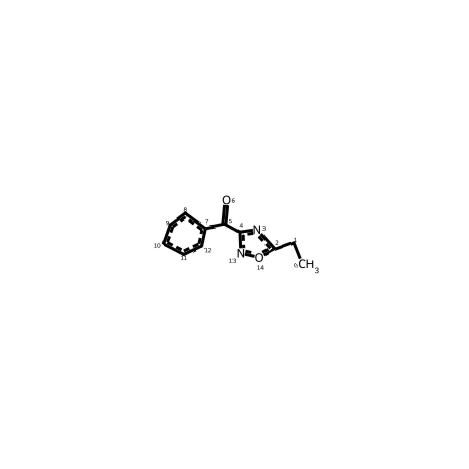 CCc1nc(C(=O)c2ccccc2)no1